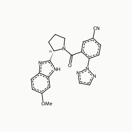 COc1ccc2nc([C@@H]3CCCN3C(=O)c3cc(C#N)ccc3-n3nccn3)[nH]c2c1